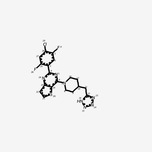 Fc1cc(-c2nc(N3CCC(Cc4nnn[nH]4)CC3)c3sccc3n2)c(F)cc1Cl